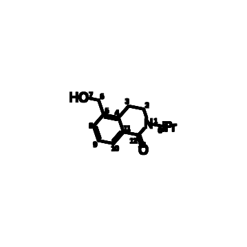 CC(C)N1CCc2c(CO)cccc2C1=O